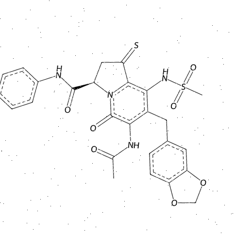 CC(=O)Nc1c(Cc2ccc3c(c2)OCO3)c(NS(C)(=O)=O)c2n(c1=O)[C@@H](C(=O)Nc1ccccc1)CC2=S